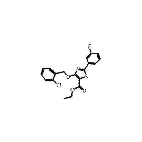 CCOC(=O)c1sc(-c2cccc(F)c2)nc1OCc1ccccc1Cl